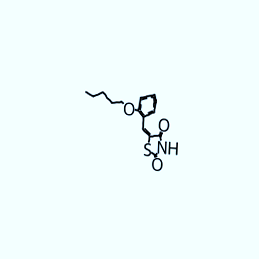 CCCCCOc1ccccc1/C=C1/SC(=O)NC1=O